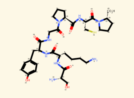 NCCCC[C@H](NC(=O)[C@@H](N)CO)C(=O)N[C@@H](Cc1ccc(O)cc1)C(=O)NCC(=O)N1CCC[C@H]1C(=O)N[C@@H](CS)C(=O)N1CCC[C@H]1C(=O)O